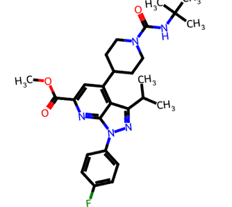 COC(=O)c1cc(C2CCN(C(=O)NC(C)(C)C)CC2)c2c(C(C)C)nn(-c3ccc(F)cc3)c2n1